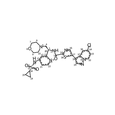 O=C(N[C@H](CN1CCOCC1)c1cc(NS(=O)(=O)C2CC2)ccn1)c1ncc(-c2cnn3ccc(Cl)cc23)s1